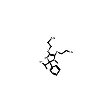 CC(C#N)C1(c2ccccc2)NC(OCCC#N)=C(OCCC#N)N1C